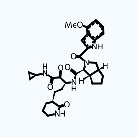 COc1cccc2[nH]c(C(=O)N3C[C@@H]4CCC[C@@H]4[C@H]3C(=O)N[C@@H](CC[C@@H]3CCCNC3=O)C(=O)C(=O)NC3CC3)cc12